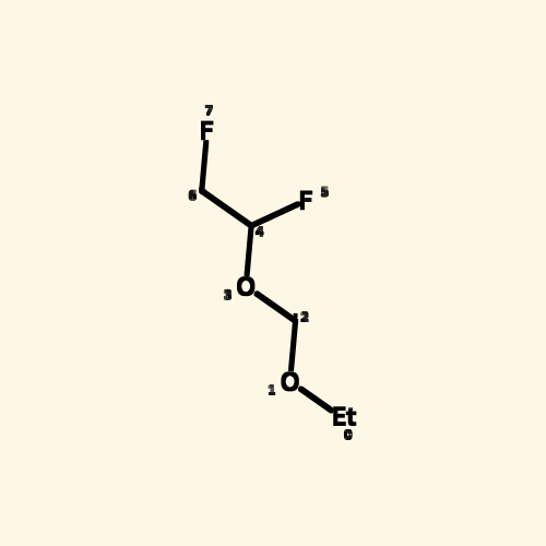 CCO[CH]OC(F)CF